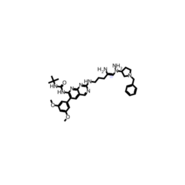 COc1cc(OC)cc(-c2cc3cnc(NCCC/C(N)=C/N(N)C4CCN(Cc5ccccc5)C4)nc3nc2NC(=O)NC(C)(C)C)c1